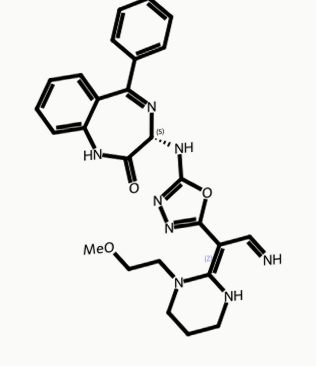 COCCN1CCCN/C1=C(\C=N)c1nnc(N[C@H]2N=C(c3ccccc3)c3ccccc3NC2=O)o1